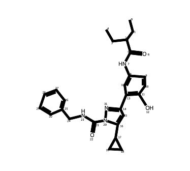 CCC(CC)C(=O)Nc1ccc(O)c(-c2cc(C3CC3)n(C(=O)NCc3ccccc3)n2)c1